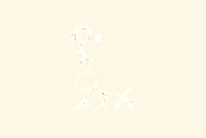 CN1CCN(CC(F)(F)F)c2cc(/N=N/c3ncc[nH]3)ccc21